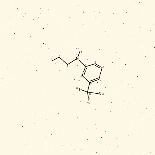 [CH2]CCN(C)c1cccc(C(F)(F)F)c1